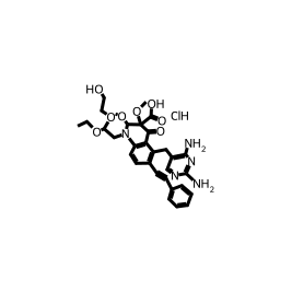 CCOC(CN1c2ccc(C#Cc3ccccc3)c(Cc3cnc(N)nc3N)c2C(=O)C(OC)(C(=O)O)C1OC)OCCO.Cl